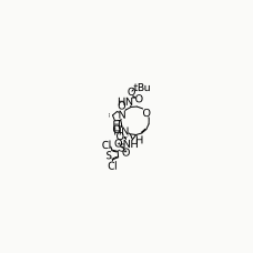 CC(C)(C)OC(=O)N[C@H]1CCOCC/C=C\[C@@H]2C[C@@]2(C(=O)NS(=O)(=O)c2cc(Cl)sc2Cl)NC(=O)[C@@H]2C[C]CN2C1=O